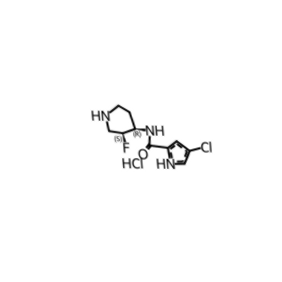 Cl.O=C(N[C@@H]1CCNC[C@@H]1F)c1cc(Cl)c[nH]1